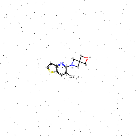 O=C(O)c1cc2sccc2nc1N1CC2(COC2)C1